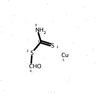 NC(=S)SC=O.[Cu]